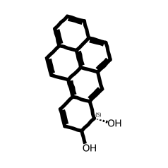 OC1C=Cc2c(cc3ccc4cccc5ccc2c3c45)[C@@H]1O